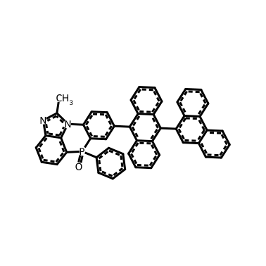 Cc1nc2cccc3c2n1-c1ccc(-c2c4ccccc4c(-c4cc5ccccc5c5ccccc45)c4ccccc24)cc1P3(=O)c1ccccc1